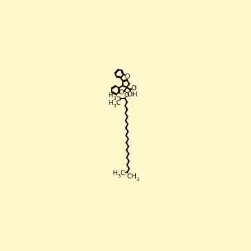 CC(C)CCCCCCCCCCCCCCCCCCCC(OC(=O)C1(C(=O)O)Cc2oc3ccccc3c2C1c1ccccc1)C(C)C